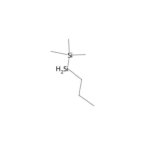 CCC[SiH2][Si](C)(C)C